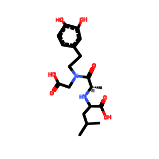 CC(C)CC(N[C@@H](C)C(=O)N(CCc1ccc(O)c(O)c1)CC(=O)O)C(=O)O